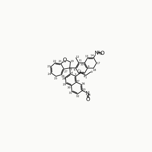 CCCc1c(C2(c3ccc4c(c3C)C=C(N=O)CC4)COC3=CC=CCC=C32)ccc2ccc(N=O)cc12